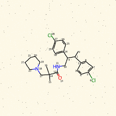 CC(c1ccc(Cl)cc1)C(CNC(=O)C(C)(C)CN1CCCCC1)c1ccc(Cl)cc1